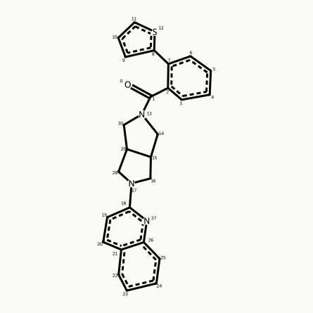 O=C(c1ccccc1-c1cccs1)N1CC2CN(c3ccc4ccccc4n3)CC2C1